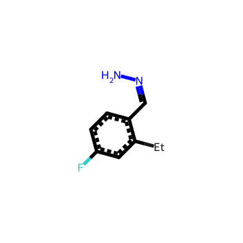 CCc1cc(F)ccc1/C=N\N